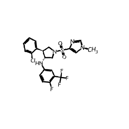 Cn1cnc(S(=O)(=O)N2C[C@H](Nc3ccc(F)c(C(F)(F)F)c3)[C@@H](c3ccccc3Cl)C2)c1